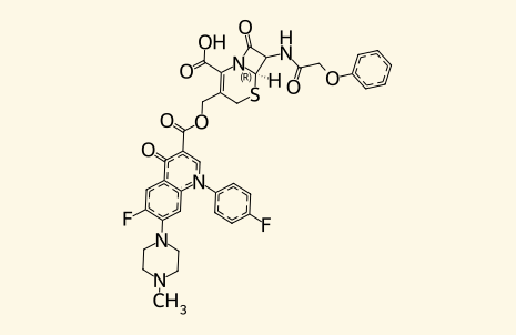 CN1CCN(c2cc3c(cc2F)c(=O)c(C(=O)OCC2=C(C(=O)O)N4C(=O)C(NC(=O)COc5ccccc5)[C@H]4SC2)cn3-c2ccc(F)cc2)CC1